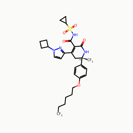 O=C1N[C@@](c2ccc(OCCCCCC(F)(F)F)cc2)(C(F)(F)F)CC(c2ccn(C3CCC3)n2)=C1C(=O)NS(=O)(=O)C1CC1